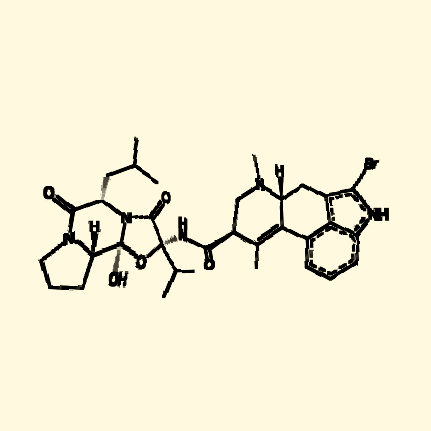 CC1=C2c3cccc4[nH]c(Br)c(c34)C[C@H]2N(C)C[C@@H]1C(=O)N[C@]1(C(C)C)O[C@@]2(O)[C@@H]3CCCN3C(=O)[C@H](CC(C)C)N2C1=O